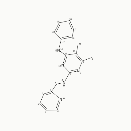 Cc1nc(NCc2ccccn2)nc(Nc2ccccc2)c1C